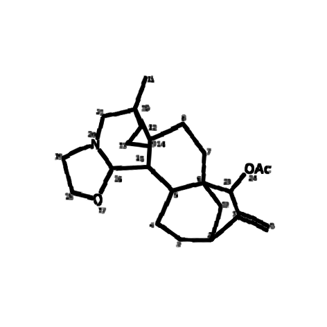 C=C1C2CCC3C(CCC4C5(C)CCCC43C3OCCN3C5)(C2)C1OC(C)=O